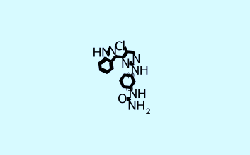 NC(=O)N[C@H]1CCC[C@@H](Nc2ncc(Cl)c(-c3n[nH]c4ccccc34)n2)C1